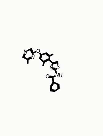 Cc1cncc(Oc2cc(C)c(-c3csc(NC(=O)c4ccccc4)n3)c(C)c2)n1